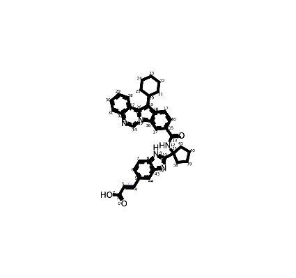 O=C(O)/C=C/c1ccc2[nH]c(C3(NC(=O)c4ccc5c(C6CCCCC6)c6c7ccccc7ncn6c5c4)CCCC3)nc2c1